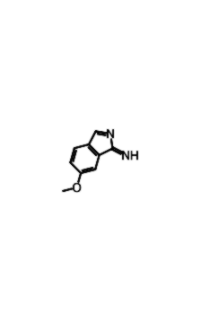 COc1ccc2c(c1)C(=N)N=C2